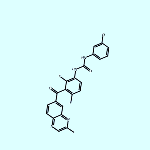 Cc1cnc2ccc(C(=O)c3c(F)ccc(NC(=O)Nc4cccc(Cl)c4)c3F)cc2n1